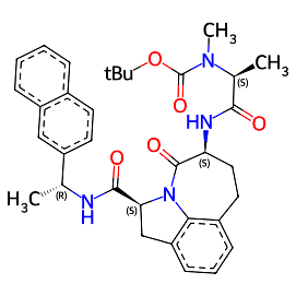 C[C@@H](NC(=O)[C@@H]1Cc2cccc3c2N1C(=O)[C@@H](NC(=O)[C@H](C)N(C)C(=O)OC(C)(C)C)CC3)c1ccc2ccccc2c1